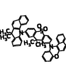 CC1(C)c2cc(N3c4ccccc4Oc4ccc5ccccc5c43)ccc2S(=O)(=O)c2ccc(N3c4ccccc4C(C)(C)c4ccc5ccccc5c43)cc21